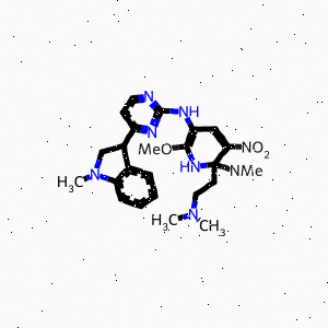 CNC1(CCN(C)C)NC(OC)=C(Nc2nccc(C3CN(C)c4ccccc43)n2)C=C1[N+](=O)[O-]